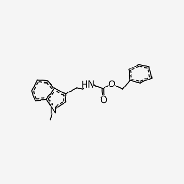 Cn1cc(CCNC(=O)OCc2ccccc2)c2ccccc21